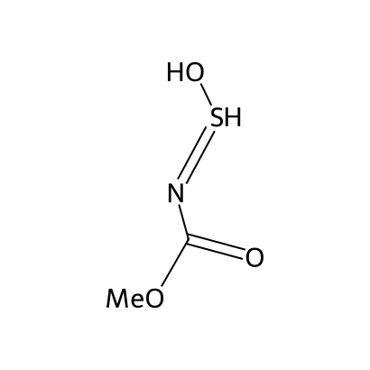 COC(=O)/N=[SH]/O